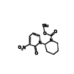 CC(C)(C)OC(=O)N1CCCCC1n1cccc([N+](=O)[O-])c1=O